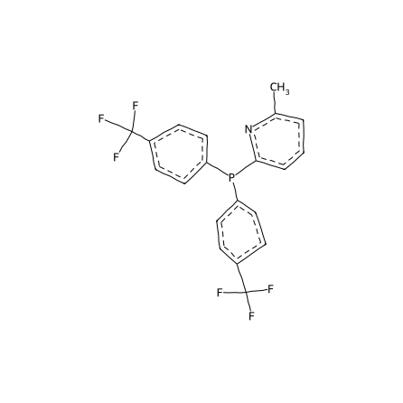 Cc1cccc(P(c2ccc(C(F)(F)F)cc2)c2ccc(C(F)(F)F)cc2)n1